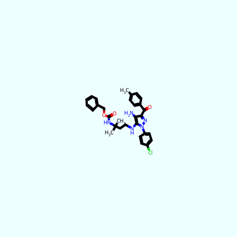 Cc1ccc(C(=O)c2nn(-c3ccc(Cl)cc3)c(NCCC(C)(C)NC(=O)OCc3ccccc3)c2N)cc1